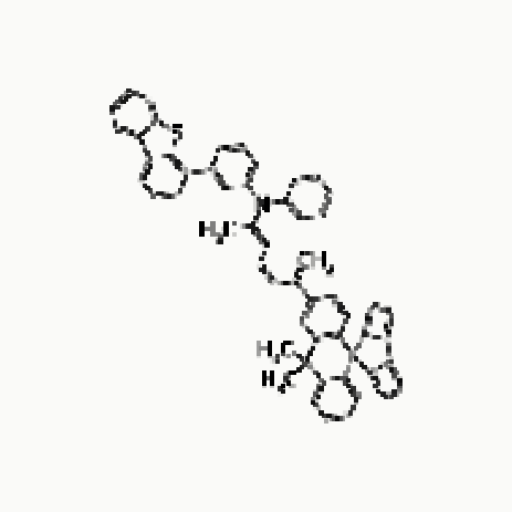 C=C(/C=C\C=C(/C)N(c1ccccc1)c1cccc(-c2cccc3c2sc2ccccc23)c1)c1ccc2c(c1)C(C)(C)c1ccccc1C21c2ccccc2-c2ccccc21